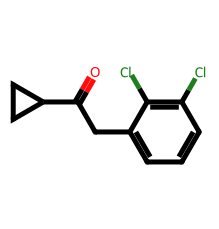 O=C(Cc1cccc(Cl)c1Cl)C1CC1